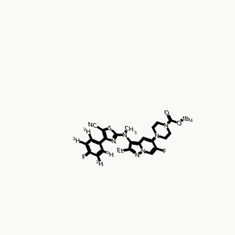 [2H]c1c([2H])c(-c2nc(N(C)c3c(CC)nn4cc(F)c(N5CCN(C(=O)OC(C)(C)C)CC5)cc34)sc2C#N)c([2H])c([2H])c1F